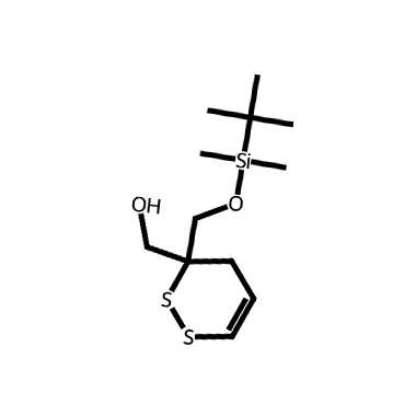 CC(C)(C)[Si](C)(C)OCC1(CO)CC=CSS1